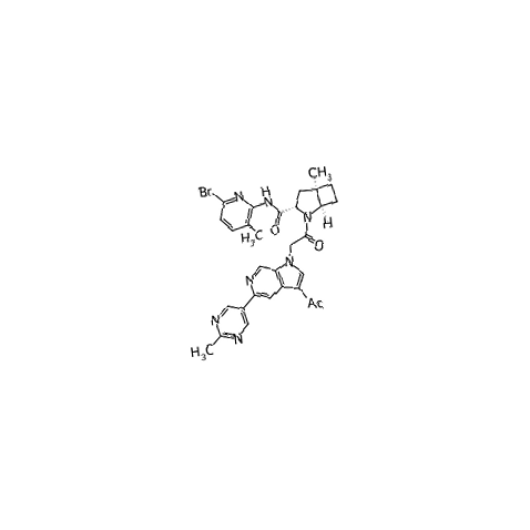 CC(=O)c1cn(CC(=O)N2[C@H](C(=O)Nc3nc(Br)ccc3C)C[C@@]3(C)CC[C@@H]23)c2cnc(-c3cnc(C)nc3)cc12